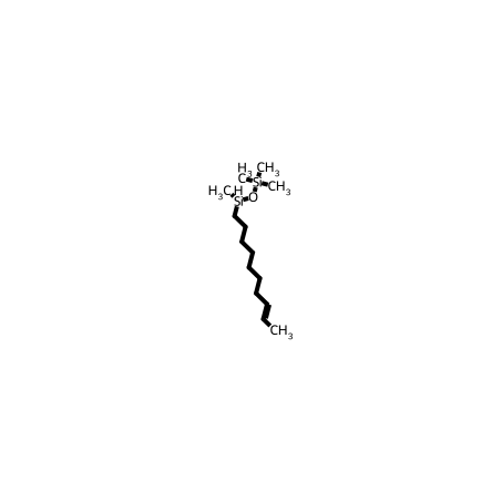 CC=CCCCCCCC[SiH](C)O[Si](C)(C)C